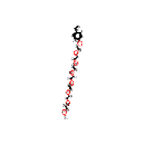 C=Cc1ccc(OCCOCCOCCOCCOCCOCCOCCOC)cc1